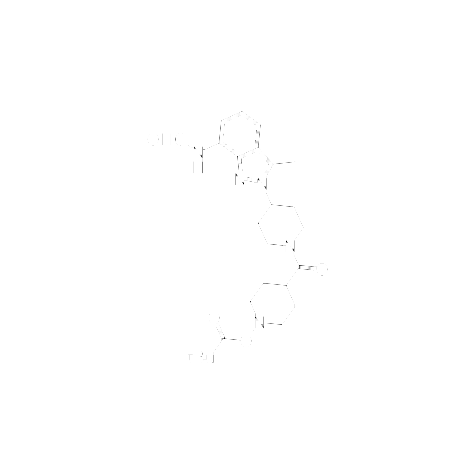 Cc1c2cccc(NC=O)c2nn1C1CCN(C(=O)C2CCN(OC(=O)C(C)(C)C)CC2)CC1